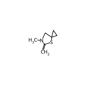 C=C1SC2(CC2)CN1C